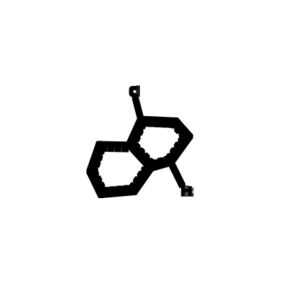 CCc1ccc(Cl)c2ccccc12